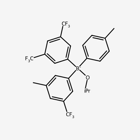 Cc1ccc([B-](OC(C)C)(c2cc(C)cc(C(F)(F)F)c2)c2cc(C(F)(F)F)cc(C(F)(F)F)c2)cc1